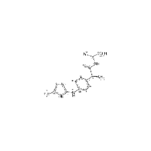 CC(C)C(NC(=O)[C@@H](C)c1ccc(Nc2nc(C(F)(F)F)cs2)cc1)C(=O)O